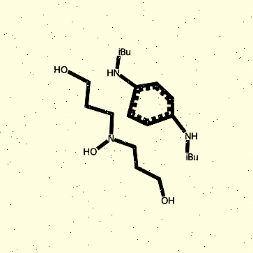 CCC(C)Nc1ccc(NC(C)CC)cc1.OCCCN(O)CCCO